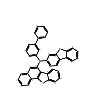 c1ccc(-c2cccc(N(c3ccc4c(c3)oc3ccccc34)c3cc4ccccc4c4oc5ccccc5c34)c2)cc1